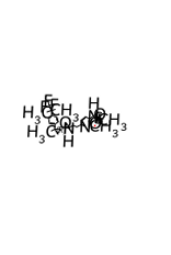 Cc1nc(CCNC(=O)[C@@H]2CC2(C)c2ccc(C(C)(C)C(F)(F)F)cc2)ccc1NS(C)(=O)=O